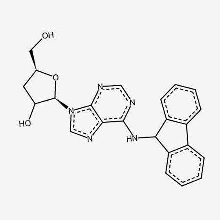 OC[C@@H]1CC(O)[C@H](n2cnc3c(NC4c5ccccc5-c5ccccc54)ncnc32)O1